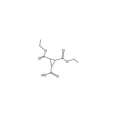 CCOC(=O)C1C(C(=O)O)C1C(=O)OCC